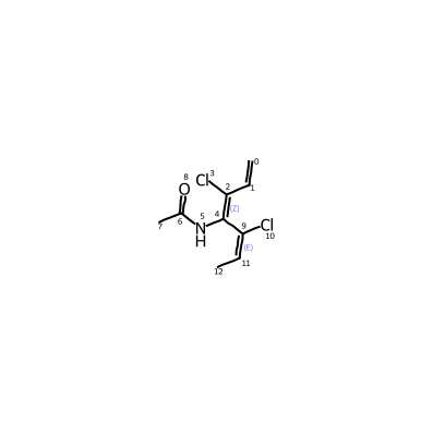 C=C/C(Cl)=C(NC(C)=O)\C(Cl)=C/C